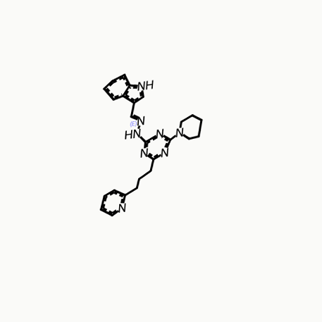 C(=N\Nc1nc(CCCc2ccccn2)nc(N2CCCCC2)n1)/c1c[nH]c2ccccc12